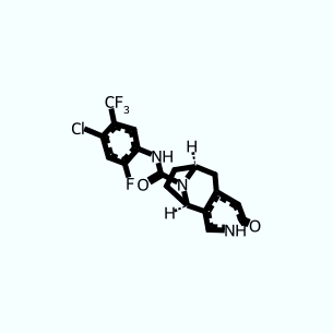 O=C(Nc1cc(C(F)(F)F)c(Cl)cc1F)N1[C@H]2CC[C@@H]1c1c[nH]c(=O)cc1C2